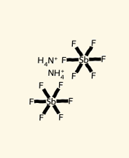 [F][Sb-]([F])([F])([F])([F])[F].[F][Sb-]([F])([F])([F])([F])[F].[NH4+].[NH4+]